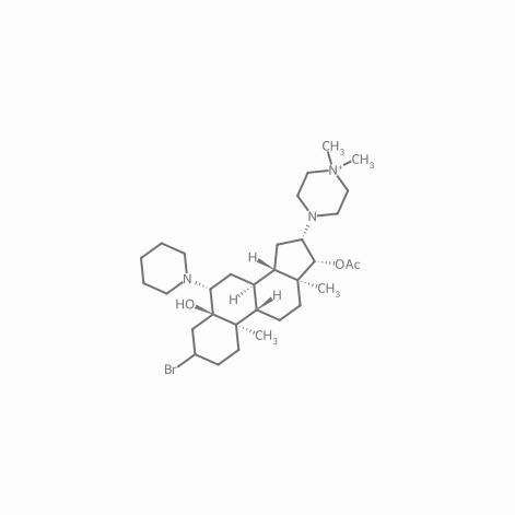 CC(=O)O[C@H]1[C@@H](N2CC[N+](C)(C)CC2)C[C@H]2[C@@H]3C[C@@H](N4CCCCC4)[C@@]4(O)CC(Br)CC[C@]4(C)[C@H]3CC[C@@]21C